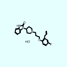 C=CCc1cc(F)ccc1OCCCN1CCC(n2c(=O)[nH]c3ccccc32)CC1.Cl